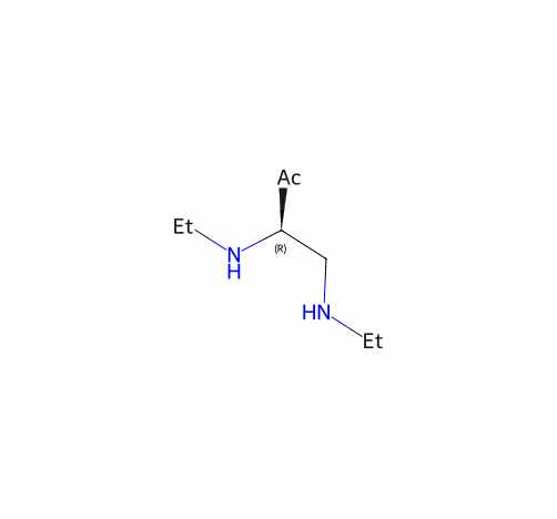 CCNC[C@@H](NCC)C(C)=O